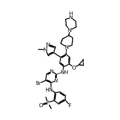 Cn1cc(-c2cc(Nc3ncc(Br)c(Nc4ccc(F)cc4P(C)(C)=O)n3)c(OC3CC3)cc2N2CCC(N3CCNCC3)CC2)cn1